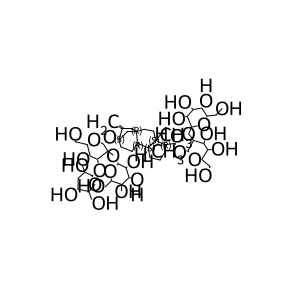 C=C1C[C@@]23CC[C@H]4[C@@](C)(CCC[C@@]4(C)C(=O)OC4OC(CO)C(O)C(O)C4OC4OC(CO)C(O)C(O)C4O)[C@@H]2CC[C@]1(OC1OC(CO)C(O)C(OC2OC(CO)C(O)CC2O)C1OC1OC(CO)C(O)C(O)C1O)C3